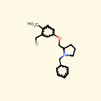 O=C(O)c1ccc(OCC2CCCN2Cc2ccccc2)cc1CCl